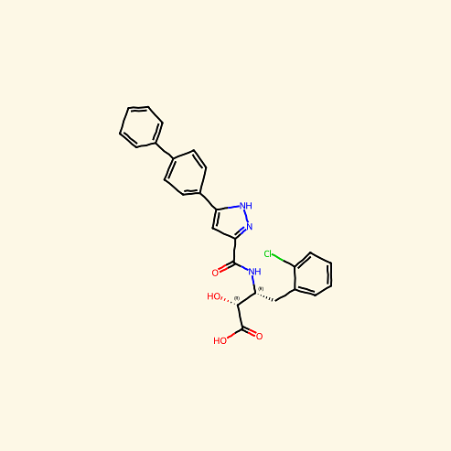 O=C(N[C@H](Cc1ccccc1Cl)[C@@H](O)C(=O)O)c1cc(-c2ccc(-c3ccccc3)cc2)[nH]n1